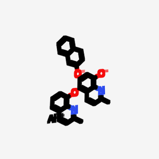 Cc1ccc2cccc([O-])c2n1.Cc1ccc2cccc([O-])c2n1.[Al+3].[O-]c1ccc2ccccc2c1